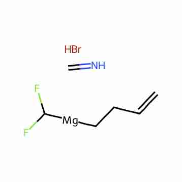 Br.C=CC[CH2][Mg][CH](F)F.C=N